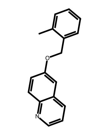 Cc1ccccc1COc1ccc2ncccc2c1